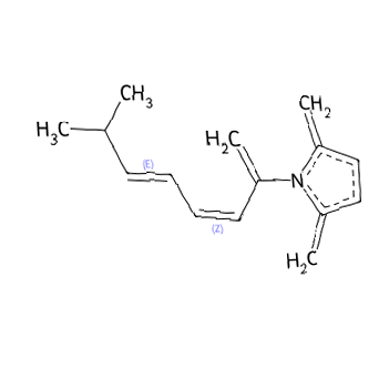 C=C(/C=C\C=C\C(C)C)n1c(=C)ccc1=C